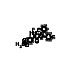 Cc1c(C(=O)Nc2ccc(S(C)(=O)=O)cc2)cc(-c2ccc(F)cc2)n1-c1ccccc1C(F)(F)F